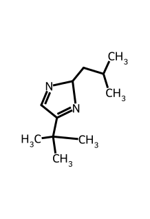 CC(C)CC1N=CC(C(C)(C)C)=N1